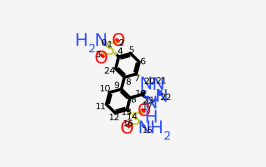 NS(=O)(=O)c1cccc(-c2cccc(S(N)(=O)=O)c2-c2nnn[nH]2)c1